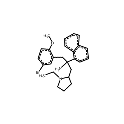 CCN1CCCC1CC(N)(Cc1cc(Br)ccc1OC)c1cccc2ccccc12